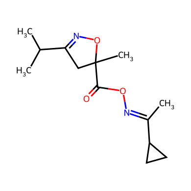 C/C(=N\OC(=O)C1(C)CC(C(C)C)=NO1)C1CC1